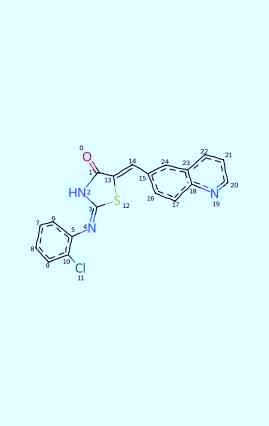 O=C1N/C(=N\c2ccccc2Cl)S/C1=C\c1ccc2ncccc2c1